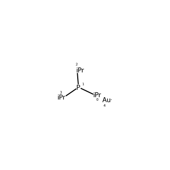 CC(C)P(C(C)C)C(C)C.[Au]